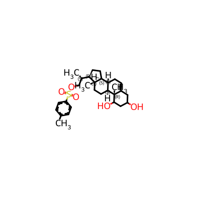 Cc1ccc(S(=O)(=O)OC[C@@H](C)[C@H]2CC[C@H]3[C@@H]4CC=C5CC(O)CC(O)[C@]5(C)[C@H]4CC[C@]23C)cc1